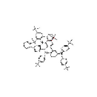 CC(C)(C)c1ccc(N2B3c4ccc5c(c4N(c4ccc(C(C)(C)C)cc4-c4ccccc4)c4cc(C(C)(C)C)cc(c43)-c3cc(N(c4ccc(C(C)(C)C)cc4)c4ccc(C(C)(C)C)cc4)ccc32)C(C)(C)c2ccccc2-5)cc1